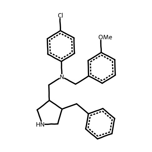 COc1cccc(CN(CC2CNCC2Cc2ccccc2)c2ccc(Cl)cc2)c1